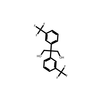 OCC(CO)(c1cccc(C(F)(F)F)c1)c1cccc(C(F)(F)F)c1